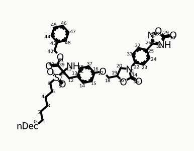 CCCCCCCCCCCCCCCCS(=O)(=O)C(N)(Cc1ccc(OCC2CN(c3ccc(-c4noc(=O)[nH]4)cc3)C(=O)O2)cc1)C(=O)OCc1ccccc1